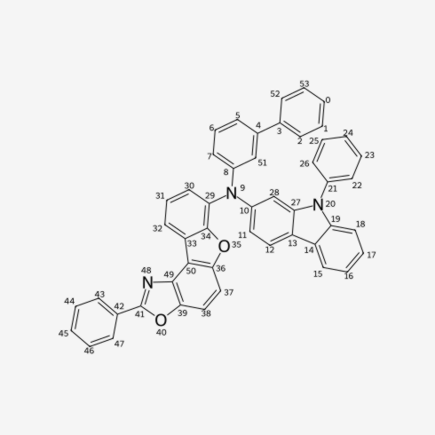 c1ccc(-c2cccc(N(c3ccc4c5ccccc5n(-c5ccccc5)c4c3)c3cccc4c3oc3ccc5oc(-c6ccccc6)nc5c34)c2)cc1